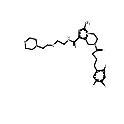 O=C(NCCOCCN1CCOCC1)c1nc(C(F)(F)F)n2c1CN(C(=O)C[CH]Cc1cc(F)c(F)cc1F)CC2